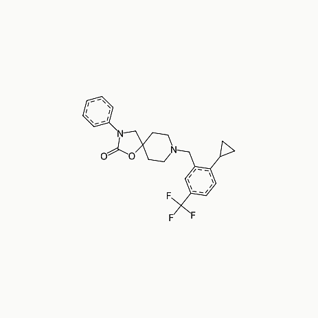 O=C1OC2(CCN(Cc3cc(C(F)(F)F)ccc3C3CC3)CC2)CN1c1ccccc1